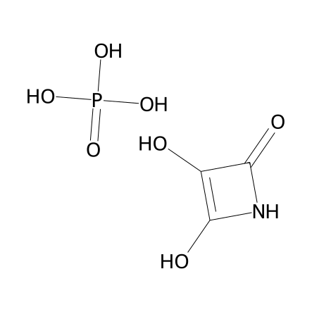 O=C1NC(O)=C1O.O=P(O)(O)O